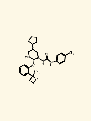 O=C(Nc1ccc(C(F)(F)F)cc1)NC1CC(C2CCCC2)CNC1Oc1ccccc1C1(C(F)(F)F)CCO1